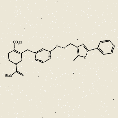 CCOC(=O)C1=C(Cc2cccc(OCCc3nc(-c4ccccc4)oc3C)c2)CN(C(=O)OCC(C)C)CC1